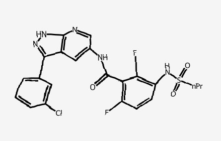 CCCS(=O)(=O)Nc1ccc(F)c(C(=O)Nc2cnc3[nH]nc(-c4cccc(Cl)c4)c3c2)c1F